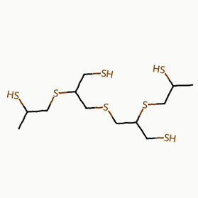 CC(S)CSC(CS)CSCC(CS)SCC(C)S